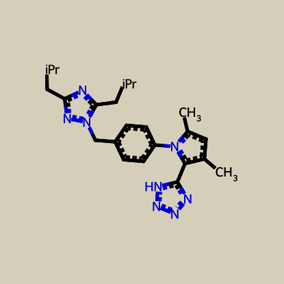 Cc1cc(C)n(-c2ccc(Cn3nc(CC(C)C)nc3CC(C)C)cc2)c1-c1nnn[nH]1